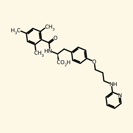 Cc1cc(C)c(C(=O)N[C@@H](Cc2ccc(OCCCNc3ccccn3)cc2)C(=O)O)c(C)c1